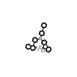 CC1(C)c2ccccc2-c2ccc(N(c3ccc(-c4ccccc4)cc3)c3cccc(-c4cccc5ccccc45)c3)cc21